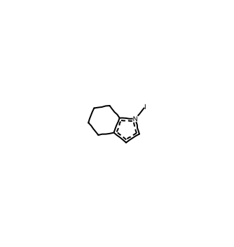 In1ccc2c1CCCC2